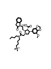 CCCCN(CCCC[N+](C)(C)C)C(=O)CN1C[C@H](c2cc(OC)c3c(c2)OCO3)[C@@H](C(=O)O)[C@@H]1CCN1C(=O)Cc2ccccc21